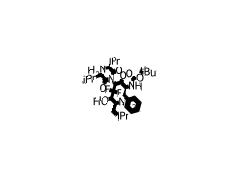 CC(C)CC(=O)N(C(=O)[C@@H](N)C(C)C)C(C(=O)[C@H](Cc1ccccc1)NC(=O)OC(C)(C)C)C(F)(F)C(O)C(N)CC(C)C